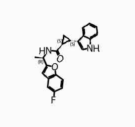 C[C@@H](NC(=O)[C@H]1C[C@@H]1c1c[nH]c2ccccc12)c1cc2cc(F)ccc2o1